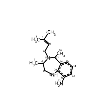 CC(C)=CCN1C(C)CNc2c(N)cccc2C1C